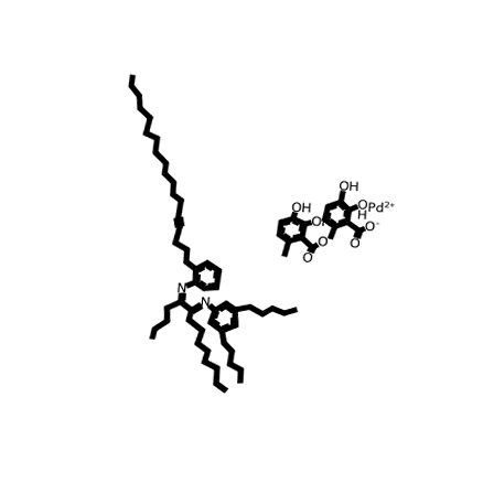 CCCCCCCCCCCCCC#CCCCc1ccccc1N=C(CCCC)C(CCCCCCCC)=Nc1cc(CCCCC)cc(CCCCC)c1.Cc1ccc(O)c(O)c1C(=O)[O-].Cc1ccc(O)c(O)c1C(=O)[O-].[Pd+2]